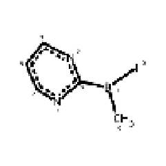 CB(I)c1ncccn1